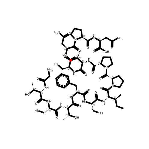 CC[C@H](C)[C@H](NC(=O)[C@@H]1CCCN1C(=O)[C@@H]1CCCN1C(=O)[C@@H](NC(=O)[C@H](CO)NC(=O)[C@H](Cc1ccccc1)NC(=O)[C@@H](NC(=O)[C@H](CS)NC(=O)[C@@H](NC(=O)CN)[C@@H](C)O)[C@@H](C)O)[C@@H](C)CC)C(=O)N[C@@H](CS)C(=O)N[C@@H](CC(N)=O)C(=O)N1CCC[C@H]1C(=O)N[C@@H](CC(N)=O)C(=O)O